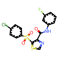 O=C(Nc1cccc(F)c1)c1ncsc1S(=O)(=O)c1ccc(Cl)cc1